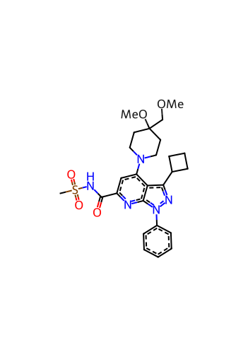 COCC1(OC)CCN(c2cc(C(=O)NS(C)(=O)=O)nc3c2c(C2CCC2)nn3-c2ccccc2)CC1